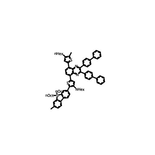 CCCCCCCC[Si]1(CCCCCCCC)c2cc(C)ccc2-c2ccc(-c3sc(-c4ccc(-c5cc(CCCCCC)c(C)s5)c5nc(-c6ccc(-c7ccccc7)cc6)c(-c6ccc(-c7ccccc7)cc6)nc45)cc3CCCCCC)cc21